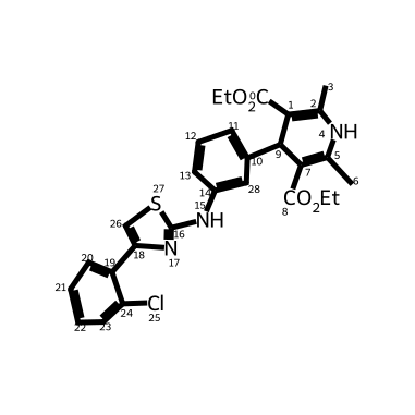 CCOC(=O)C1=C(C)NC(C)=C(C(=O)OCC)C1c1cccc(Nc2nc(-c3ccccc3Cl)cs2)c1